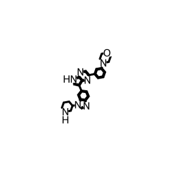 c1cc(-c2cnc3[nH]cc(-c4ccc5ncn(C6CCCNC6)c5c4)c3n2)cc(N2CCOCC2)c1